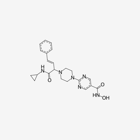 O=C(NO)c1cnc(N2CCN(C(/C=C/c3ccccc3)C(=O)NC3CC3)CC2)nc1